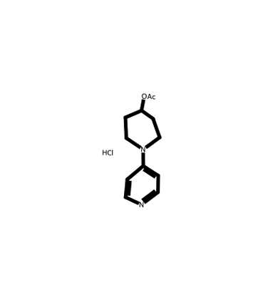 CC(=O)OC1CCN(c2ccncc2)CC1.Cl